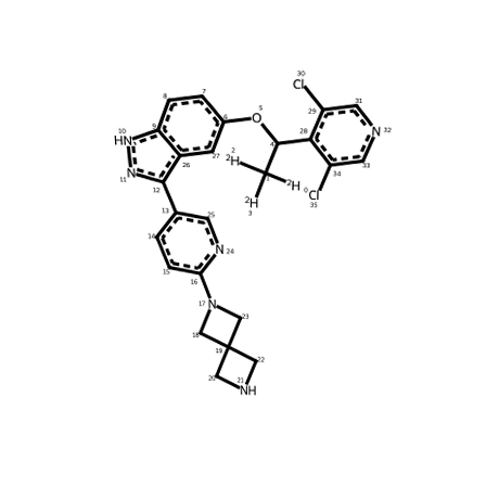 [2H]C([2H])([2H])C(Oc1ccc2[nH]nc(-c3ccc(N4CC5(CNC5)C4)nc3)c2c1)c1c(Cl)cncc1Cl